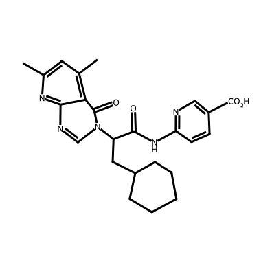 Cc1cc(C)c2c(=O)n(C(CC3CCCCC3)C(=O)Nc3ccc(C(=O)O)cn3)cnc2n1